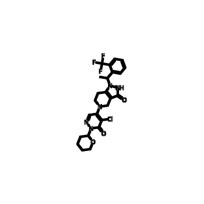 CC(c1ccccc1C(F)(F)F)n1[nH]c(=O)c2c1CCN(c1cnn(C3CCCCO3)c(=O)c1Cl)C2